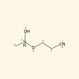 C[SiH](O)OCCC#N